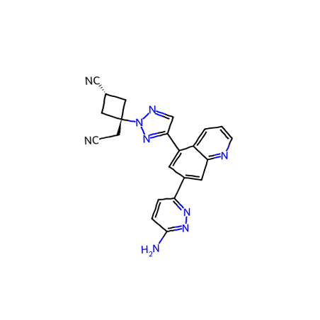 N#CC[C@]1(n2ncc(-c3cc(-c4ccc(N)nn4)cc4ncccc34)n2)C[C@@H](C#N)C1